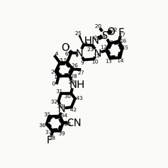 Cc1cc(C)c(C(=O)N2CCN(c3cccc(F)c3S(C)(=N)=O)C[C@@H]2C)c(C)c1NC1CCN(c2ccc(F)cc2C#N)CC1